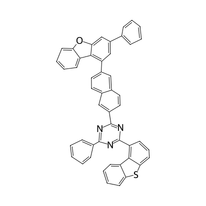 c1ccc(-c2cc(-c3ccc4cc(-c5nc(-c6ccccc6)nc(-c6cccc7sc8ccccc8c67)n5)ccc4c3)c3c(c2)oc2ccccc23)cc1